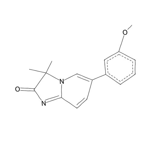 COc1cccc(C2=CN3C(=NC(=O)C3(C)C)C=C2)c1